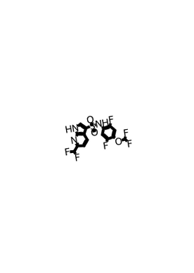 O=S(=O)(Nc1cc(F)c(OC(F)F)cc1F)c1c[nH]c2nc(C(F)F)ccc12